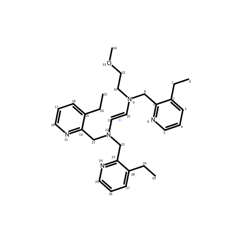 CCc1cccnc1CN(/C=C/N(Cc1ncccc1CC)Cc1ncccc1CC)CCOC